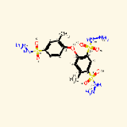 Cc1cc(S(=O)(=O)NN)ccc1Oc1cc(C)c(S(=O)(=O)NN)cc1S(=O)(=O)NN